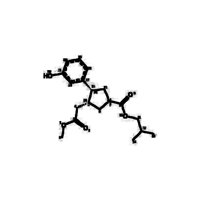 COC(=O)C[C@H]1CN(C(=O)OCC(C)C)C[C@H]1c1cccc(O)c1